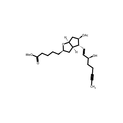 CC#CCC[C@H](O)C=C[C@@H]1[C@H]2C[C@@H](CCCCC(=O)OC)O[C@H]2C[C@H]1OC(C)=O